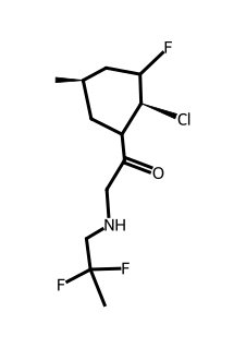 C[C@H]1CC(F)[C@@H](Cl)C(C(=O)CNCC(C)(F)F)C1